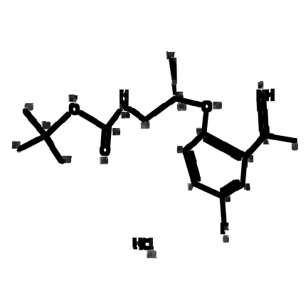 CC(=N)c1cc(F)ccc1O[C@@H](C)CNC(=O)OC(C)(C)C.Cl